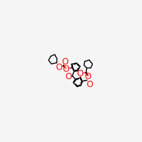 O=[C]c1cccc(C(=O)c2ccccc2OC(=O)OC2CCCCC2)c1OC(=O)C1CCCCC1